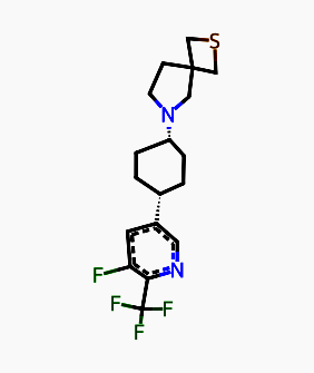 Fc1cc([C@H]2CC[C@@H](N3CCC4(CSC4)C3)CC2)cnc1C(F)(F)F